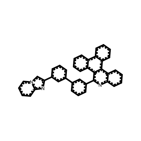 c1cc(-c2cccc(-c3nc4ccccc4c4c5ccccc5c5ccccc5c34)c2)cc(-c2cn3ccccc3n2)c1